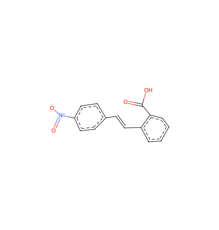 O=C(O)c1ccccc1C=Cc1ccc([N+](=O)[O-])cc1